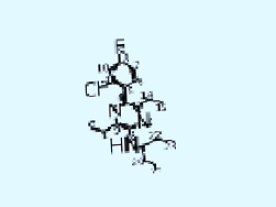 CCc1nc(-c2ccc(F)cc2Cl)c(CC)nc1NC(CC)CC